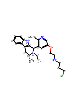 COc1ncc(OCCNCCCF)cc1C1c2[nH]c3ccccc3c2C[C@@H](C)N1CC(F)(F)F